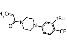 C=CC(=O)N1CCN(c2ccc(C(F)(F)F)c(C(C)(C)C)c2)CC1